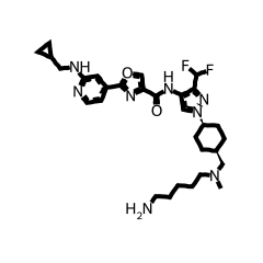 CN(CCCCCN)C[C@H]1CC[C@H](n2cc(NC(=O)c3coc(-c4ccnc(NCC5CC5)c4)n3)c(C(F)F)n2)CC1